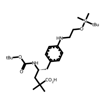 CC(C)(C)OC(=O)N[C@H](Cc1ccc(NCCO[Si](C)(C)C(C)(C)C)cc1)CC(C)(C)C(=O)O